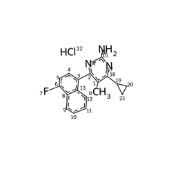 Cc1c(-c2ccc(F)c3ccccc23)nc(N)nc1C1CC1.Cl